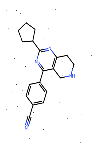 N#Cc1ccc(-c2nc(C3CCCC3)nc3c2CNCC3)cc1